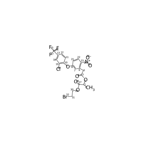 CC(OC(=O)Cc1cc(Oc2ccc(C(F)(F)F)cc2Cl)ccc1[N+](=O)[O-])C(=O)OCCBr